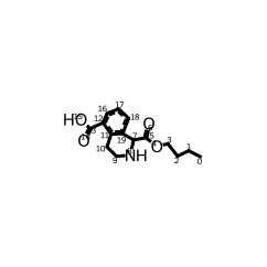 CCCCOC(=O)C1NCCc2c(C(=O)O)cccc21